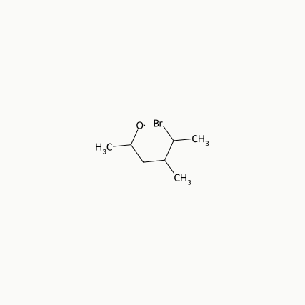 CC([O])CC(C)C(C)Br